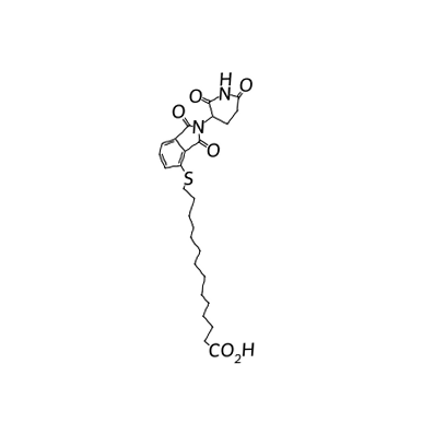 O=C(O)CCCCCCCCCCCCCSc1cccc2c1C(=O)N(C1CCC(=O)NC1=O)C2=O